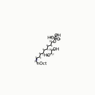 CCCCCCCC/C=C\CCCCCCCCOP(=O)(O)O.OCCO